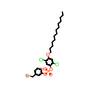 CCCCCCCCCCCCCCOc1cc(Cl)c(OP(=O)(O)Oc2cccc(CBr)c2)cc1Cl